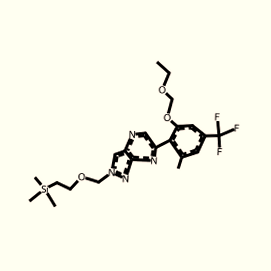 CCOCOc1cc(C(F)(F)F)cc(C)c1-c1cnc2cn(COCC[Si](C)(C)C)nc2n1